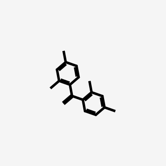 C=C(c1ccc(C)cc1C)c1ccc(C)cc1C